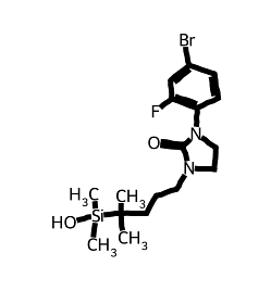 CC(C)(CCCN1CCN(c2ccc(Br)cc2F)C1=O)[Si](C)(C)O